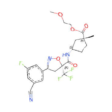 COCCOC(=O)[C@]1(C)CC[C@H](NC(=O)[C@@]2(C(F)(F)F)CC(c3cc(F)cc(C#N)c3)=NO2)C1